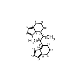 CC(C1=C2C=CC=C2CCC1)C(C)C1=C2C=CC=C2CCC1